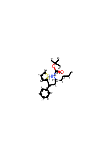 CCCC[C@@H](C[C](c1ccccc1)c1cccs1)NC(=O)OC(C)(C)C